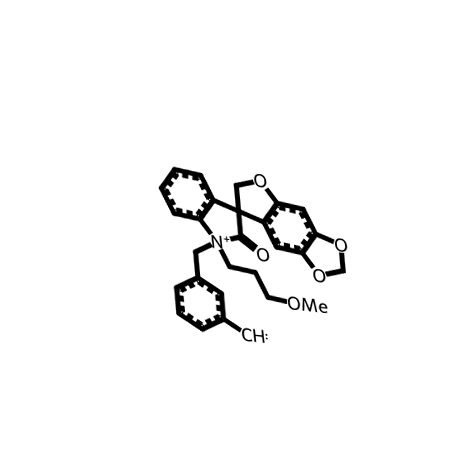 [CH]c1cccc(C[N+]2(CCCOC)C(=O)C3(COc4cc5c(cc43)OCO5)c3ccccc32)c1